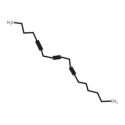 CCCCC#CCC#CCC#CCCCCCC